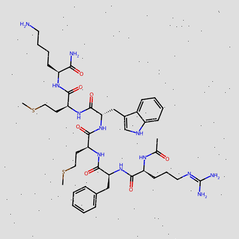 CSCC[C@H](NC(=O)[C@H](Cc1c[nH]c2ccccc12)NC(=O)[C@H](CCSC)NC(=O)[C@H](Cc1ccccc1)NC(=O)[C@H](CCCN=C(N)N)NC(C)=O)C(=O)N[C@@H](CCCCN)C(N)=O